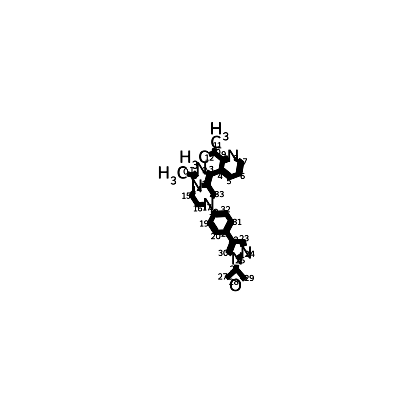 Cc1nc(-c2cccnc2C(C)C)c2n1CCN(c1ccc(-c3cnn(C4COC4)c3)cc1)C2